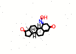 C[C@]12CC[C@H]3[C@@H](CCC4=CC(=O)C/C(=N\O)[C@@]43C)[C@@H]1CCC2=O